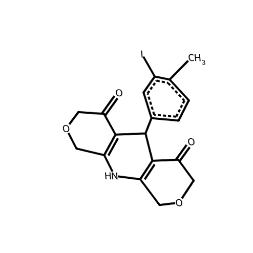 Cc1ccc(C2C3=C(COCC3=O)NC3=C2C(=O)COC3)cc1I